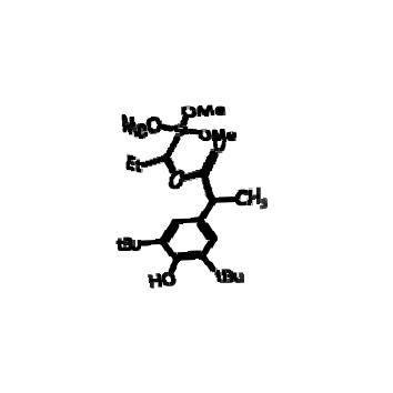 CCC(OC(=O)C(C)c1cc(C(C)(C)C)c(O)c(C(C)(C)C)c1)[Si](OC)(OC)OC